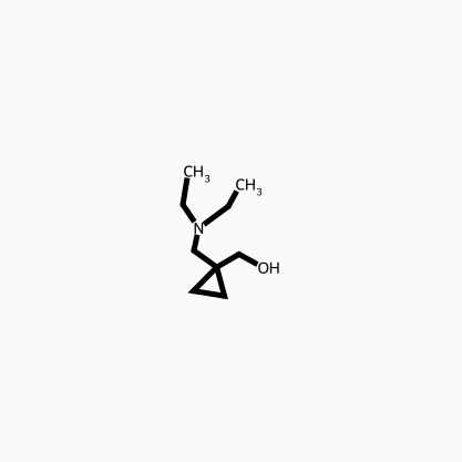 CCN(CC)CC1(CO)CC1